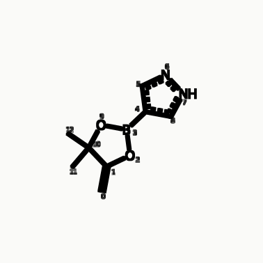 C=C1OB(c2cn[nH]c2)OC1(C)C